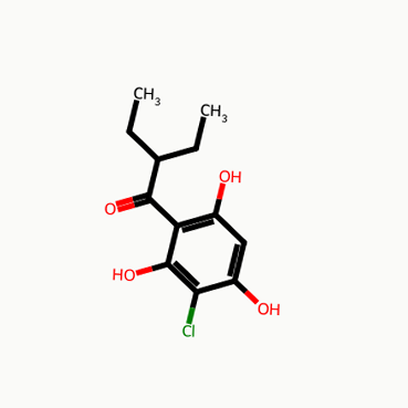 CCC(CC)C(=O)c1c(O)cc(O)c(Cl)c1O